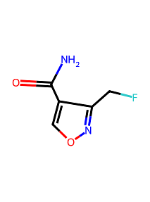 NC(=O)c1conc1CF